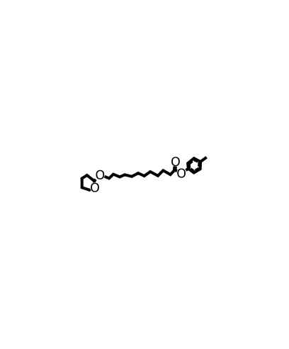 Cc1ccc(OC(=O)CCCCCCCCCCCOC2CCCCO2)cc1